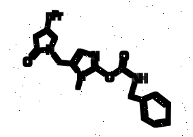 CCCC1CC(=O)N(Cc2cnc(OC(=O)NCc3ccccc3)n2C)C1